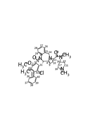 COc1c(C(=O)N2Cc3ccc(C(=O)N(C)C4CCN(C)CC4)n3Cc3ccccc32)cc(Cl)c(-c2ccccc2)c1C